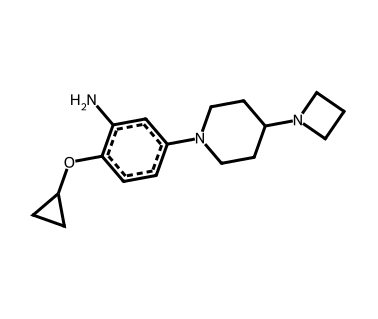 Nc1cc(N2CCC(N3CCC3)CC2)ccc1OC1CC1